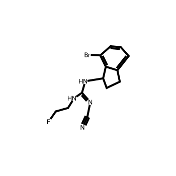 N#CN=C(NCCF)NC1CCc2cccc(Br)c21